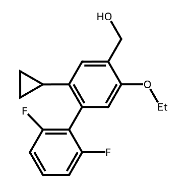 CCOc1cc(-c2c(F)cccc2F)c(C2CC2)cc1CO